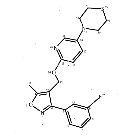 Cc1onc(-c2cccc(F)c2)c1COc1ccc(N2CCSCC2)cn1